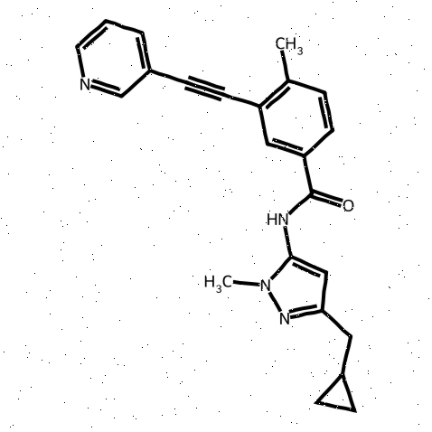 Cc1ccc(C(=O)Nc2cc(CC3CC3)nn2C)cc1C#Cc1cccnc1